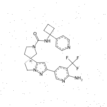 Nc1ncc(-c2cc3n(n2)CC[C@@]32CCN(C(=O)NC3(c4ccncc4)CCC3)C2)cc1C(F)(F)F